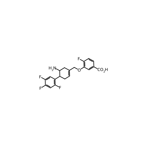 NC1CC(COc2cc(C(=O)O)ccc2F)=CCC1c1cc(F)c(F)cc1F